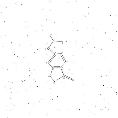 CC(C)Oc1ccc2c(c1)CCC2=O